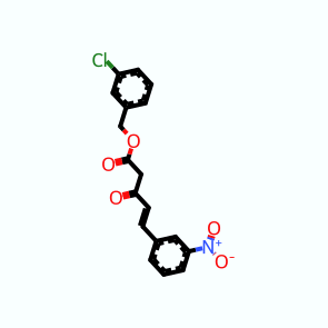 O=C(C=Cc1cccc([N+](=O)[O-])c1)CC(=O)OCc1cccc(Cl)c1